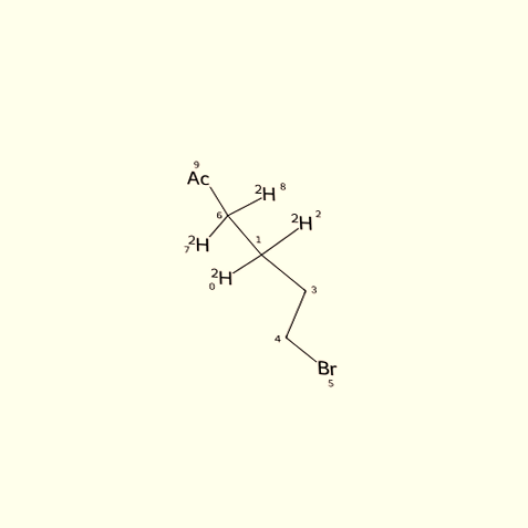 [2H]C([2H])(CCBr)C([2H])([2H])C(C)=O